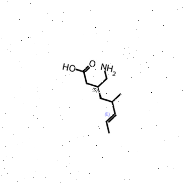 C/C=C/C(C)C[C@H](CN)CC(=O)O